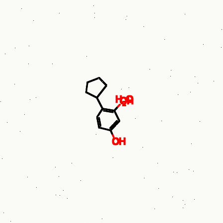 O.Oc1ccc(C2CCCC2)c(O)c1